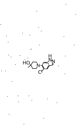 CC1(O)CCN(c2cc3[nH]ncc3cc2Cl)CC1